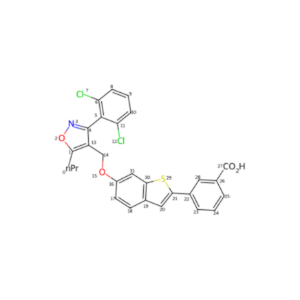 CCCc1onc(-c2c(Cl)cccc2Cl)c1COc1ccc2cc(-c3cccc(C(=O)O)c3)sc2c1